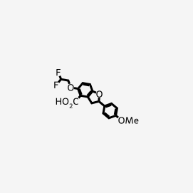 COc1ccc(C2Cc3c(ccc(OCC(F)F)c3C(=O)O)O2)cc1